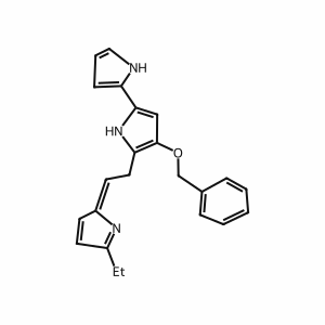 CCC1=NC(=CCc2[nH]c(-c3ccc[nH]3)cc2OCc2ccccc2)C=C1